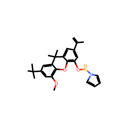 C=C(C)c1cc(OPn2cccc2)c2c(c1)C(C)(C)c1cc(C(C)(C)C)cc(OC)c1O2